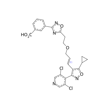 O=C(O)c1cccc(-c2noc(CCOC/C=C/c3c(-c4c(Cl)cncc4Cl)noc3C3CC3)n2)c1